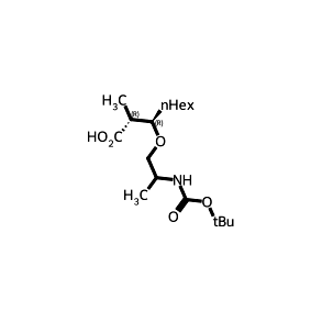 CCCCCC[C@@H](OCC(C)NC(=O)OC(C)(C)C)[C@@H](C)C(=O)O